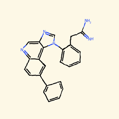 N=C(N)Cc1ccccc1-n1cnc2cnc3ccc(-c4ccccc4)cc3c21